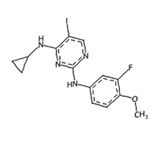 COc1ccc(Nc2ncc(I)c(NC3CC3)n2)cc1F